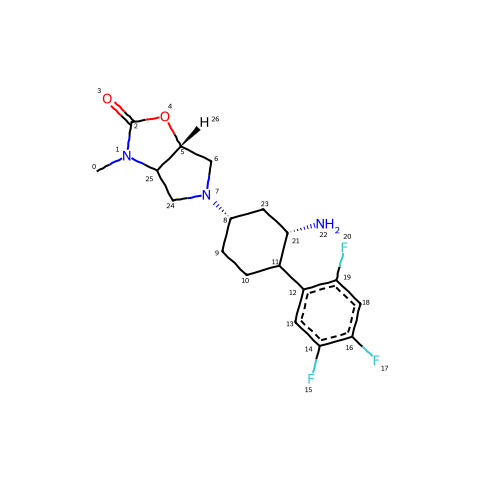 CN1C(=O)O[C@@H]2CN([C@H]3CCC(c4cc(F)c(F)cc4F)[C@@H](N)C3)CC21